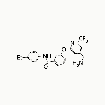 CCc1ccc(NC(=O)c2cccc(Oc3cc(CN)cc(C(F)(F)F)n3)c2)cc1